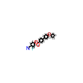 N#Cc1ccc(OC(=O)c2ccc(-c3ccc(OC4CCCC4)cc3)cc2)cc1F